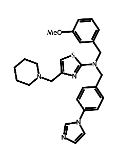 COc1cccc(CN(Cc2ccc(-n3ccnc3)cc2)c2nc(CN3CCCCC3)cs2)c1